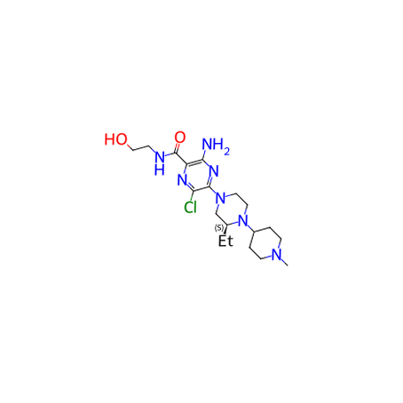 CC[C@H]1CN(c2nc(N)c(C(=O)NCCO)nc2Cl)CCN1C1CCN(C)CC1